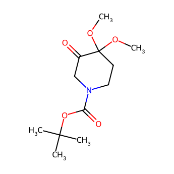 COC1(OC)CCN(C(=O)OC(C)(C)C)CC1=O